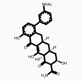 CC(=O)Nc1cccc(-c2ccc(O)c3c2C[C@H]2C[C@H]4C[C@@H](O)C(C(N)=O)C(=O)[C@@]4(S)C(O)=C2C3=O)c1